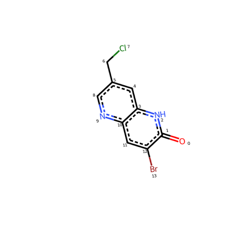 O=c1[nH]c2cc(CCl)cnc2cc1Br